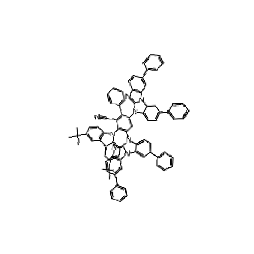 CC(C)(C)c1ccc2c(c1)c1cc(C(C)(C)C)ccc1n2-c1c(-n2c3ccc(-c4ccccc4)cc3n3c4cc(-c5ccccc5)ccc4nc23)cc(-n2c3ccc(-c4ccccc4)cc3n3c4cc(-c5ccccc5)ccc4nc23)c(-c2ccccc2)c1C#N